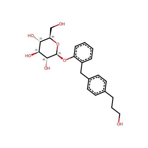 OCCCc1ccc(Cc2ccccc2O[C@@H]2O[C@H](CO)[C@@H](O)[C@H](O)[C@H]2O)cc1